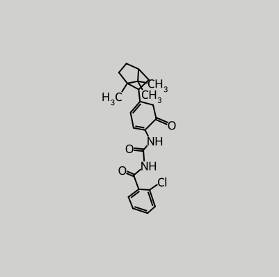 CC1(C)C2CCC1(C)C(C1=CC=C(NC(=O)NC(=O)c3ccccc3Cl)C(=O)C1)C2